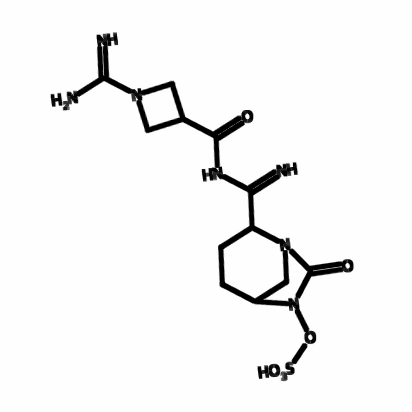 N=C(NC(=O)C1CN(C(=N)N)C1)C1CCC2CN1C(=O)N2OS(=O)(=O)O